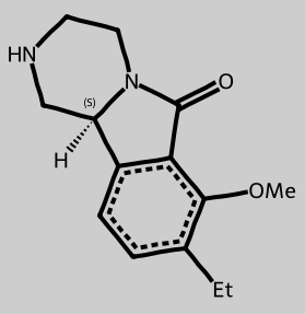 CCc1ccc2c(c1OC)C(=O)N1CCNC[C@H]21